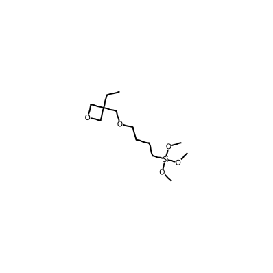 CCC1(COCCCC[Si](OC)(OC)OC)COC1